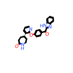 O=C1CC[C@H](c2cccnc2Oc2ccc(C(=O)c3nc4ccccc4[nH]3)cc2)CCN1